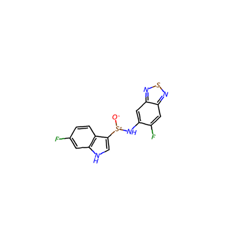 [O-][S+](Nc1cc2nsnc2cc1F)c1c[nH]c2cc(F)ccc12